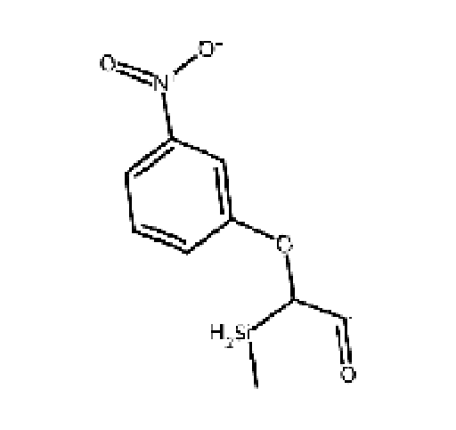 C[SiH2]C([C]=O)Oc1cccc([N+](=O)[O-])c1